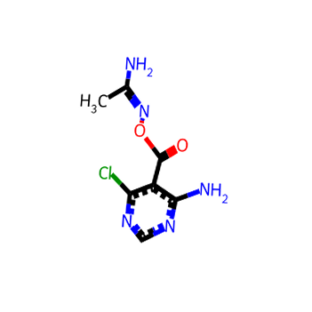 C/C(N)=N\OC(=O)c1c(N)ncnc1Cl